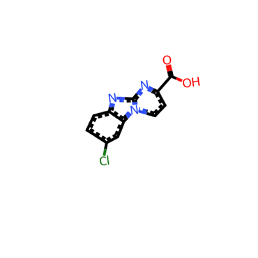 O=C(O)c1ccn2c(n1)nc1ccc(Cl)cc12